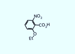 CCOc1cccc([N+](=O)[O-])c1C(=O)O